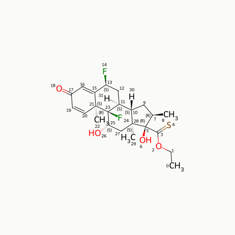 CCOC(=S)[C@@]1(O)[C@H](C)C[C@H]2[C@@H]3C[C@H](F)C4=CC(=O)C=C[C@]4(C)[C@@]3(F)[C@@H](O)C[C@@]21C